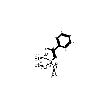 CCO[Si](C=C(C)c1ccccc1)(OCC)OCC